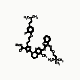 COC(=O)c1nc(N2CCCc3c2nnc(/N=c2\sc4ccccc4n2OCOCC[Si](C)(C)C)c3C)sc1CCCOc1ccc(CCN(C)C)cc1F